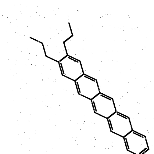 CCCc1cc2cc3cc4cc5ccccc5cc4cc3cc2cc1CCC